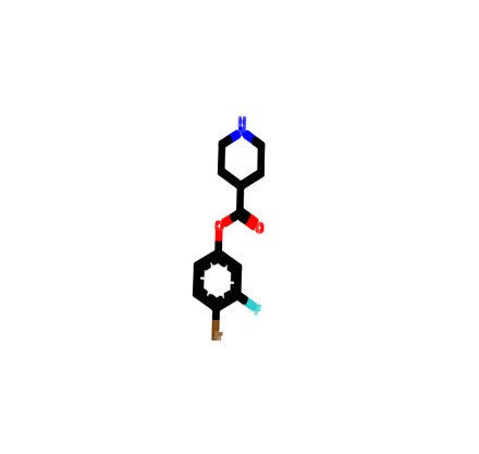 O=C(Oc1ccc(Br)c(F)c1)C1CCNCC1